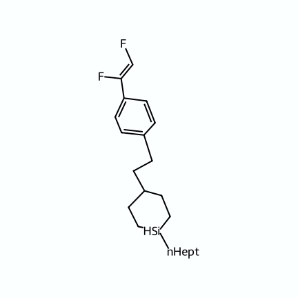 CCCCCCC[SiH]1CCC(CCc2ccc(/C(F)=C/F)cc2)CC1